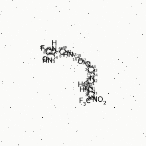 O=C1NCCc2c(-c3ccc(CNCCCOCCOc4ccc(CN5CCC(O)(c6cc7cc([N+](=O)[O-])c(C(F)(F)F)cc7[nH]6)CC5)cc4)cc3)[nH]c3cc(F)cc1c23